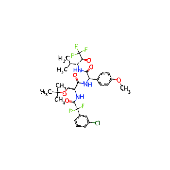 COc1ccc(C(NC(=O)C(COC(C)(C)C)NC(=O)C(F)(F)c2cccc(Cl)c2)C(=O)NC(C(=O)C(F)(F)F)C(C)C)cc1